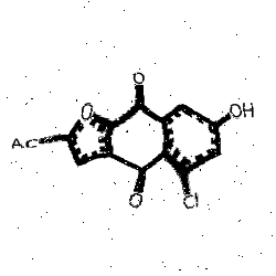 CC(=O)c1cc2c(o1)C(=O)c1cc(O)cc(Cl)c1C2=O